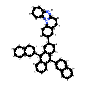 c1ccc2cc(-c3c4ccccc4c(-c4ccc5ccccc5c4)c4cc(-c5ccc6c(ccc7nc8ccccc8n76)c5)ccc34)ccc2c1